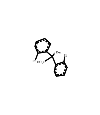 CCCCCCCCCCC(C(=O)O)(c1ccccc1CC)c1ccccc1CC